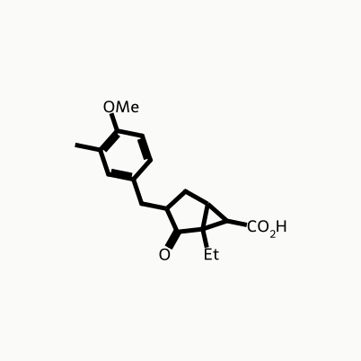 CCC12C(=O)C(Cc3ccc(OC)c(C)c3)CC1C2C(=O)O